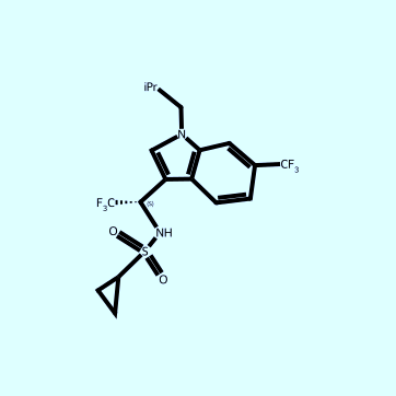 CC(C)Cn1cc([C@H](NS(=O)(=O)C2CC2)C(F)(F)F)c2ccc(C(F)(F)F)cc21